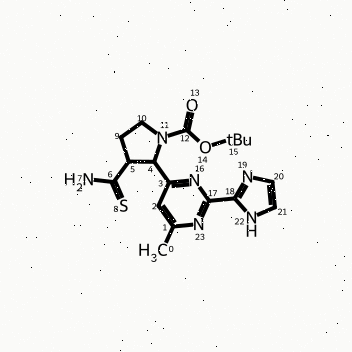 Cc1cc(C2C(C(N)=S)CCN2C(=O)OC(C)(C)C)nc(-c2ncc[nH]2)n1